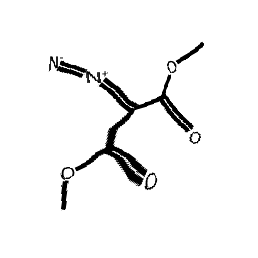 COC(=O)C(=[N+]=[N-])C(=O)OC